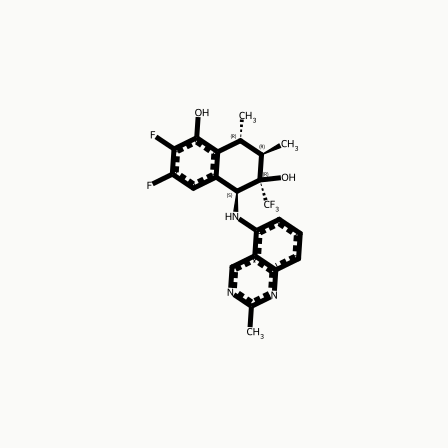 Cc1ncc2c(N[C@H]3c4cc(F)c(F)c(O)c4[C@H](C)[C@@H](C)[C@]3(O)C(F)(F)F)cccc2n1